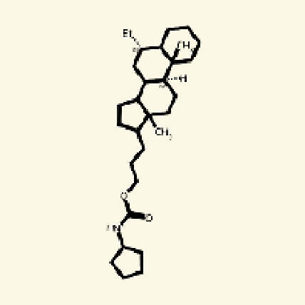 CC[C@H]1CC2C3CCC(CCCOC(=O)NC4CCCC4)C3(C)CC[C@@H]2C2(C)CCCCC12